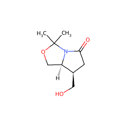 CC1(C)OC[C@@H]2[C@H](CO)CC(=O)N21